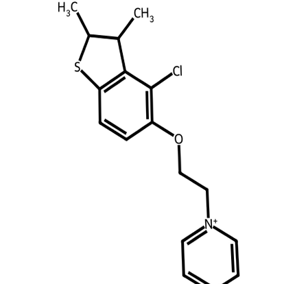 CC1Sc2ccc(OCC[n+]3ccccc3)c(Cl)c2C1C